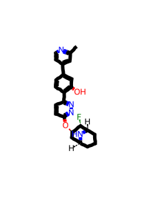 Cc1cc(-c2ccc(-c3ccc(O[C@H]4C[C@@H]5CCC[C@@H](N5)[C@H]4F)nn3)c(O)c2)ccn1